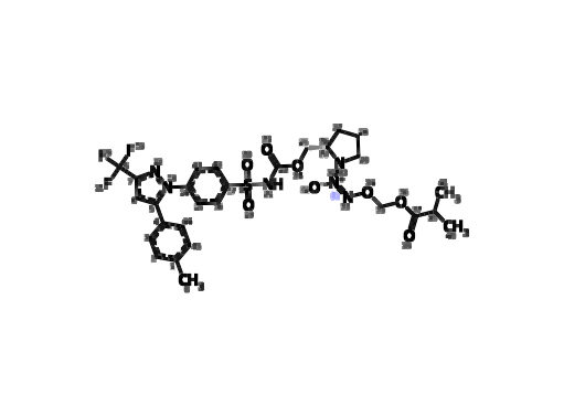 Cc1ccc(-c2cc(C(F)(F)F)nn2-c2ccc(S(=O)(=O)NC(=O)OC[C@@H]3CCCN3/[N+]([O-])=N\OCOC(=O)C(C)C)cc2)cc1